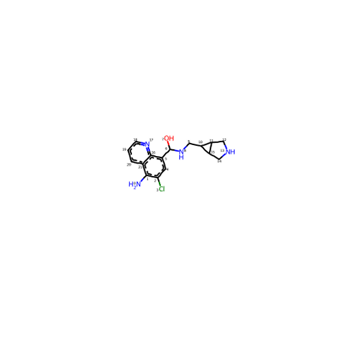 Nc1c(Cl)cc(C(O)NCC2C3CNCC32)c2ncccc12